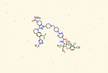 CNC(=O)N1CCc2c(c(N3CCCc4cc(-c5cnn(C)c5)c(C(F)F)cc43)nn2C2CCN(CC3CCN(c4ncc(C(=O)NC5C(C)(C)C(Oc6ccc(C#N)c(Cl)c6)C5(C)C)cn4)CC3)CC2)C1